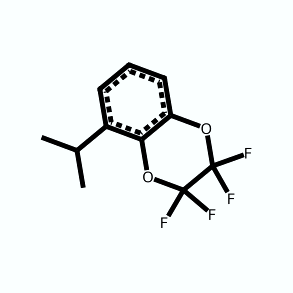 CC(C)c1cccc2c1OC(F)(F)C(F)(F)O2